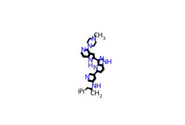 C=C(CC(C)C)Nc1cncc(-c2ccc3[nH]nc(-c4cc5c(N6CCN(C)CC6)nccc5[nH]4)c3n2)c1